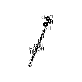 COCCOCCOCCNC(=O)C(O)C(O)C(=O)NCCOCCOCCOCCNc1cccc(C2CN(C)Cc3c(Cl)cc(Cl)cc32)c1